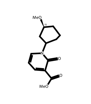 COC(=O)c1cccn(C2CCC[C@H](OC)C2)c1=O